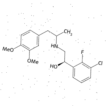 COc1ccc(CC(C)NC[C@H](O)c2cccc(Cl)c2F)cc1OC